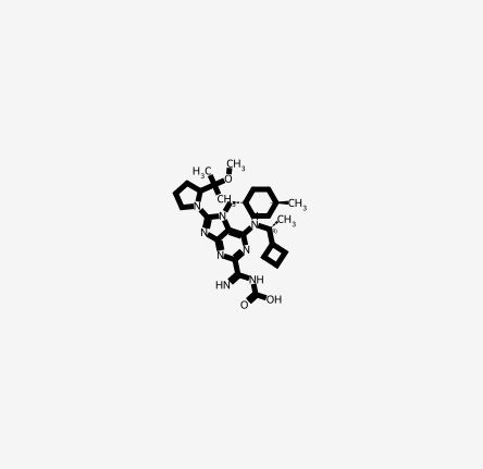 COC(C)(C)C1CCCN1c1nc2nc(C(=N)NC(=O)O)nc(N[C@H](C)C3CCC3)c2n1C[C@H]1CC[C@H](C)CC1